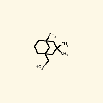 CC1(C)CC2(C)CCCC(CC(=O)O)(C1)C2